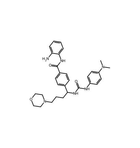 CN(C)c1ccc(NC(=O)NC(CCCN2CCOCC2)c2ccc(C(=O)Nc3ccccc3N)cc2)cc1